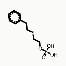 O=P(O)(O)OCCSCCc1ccccc1